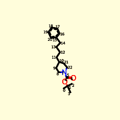 CC(C)(C)OC(=O)N1CCC(CCCCc2ccccc2)CC1